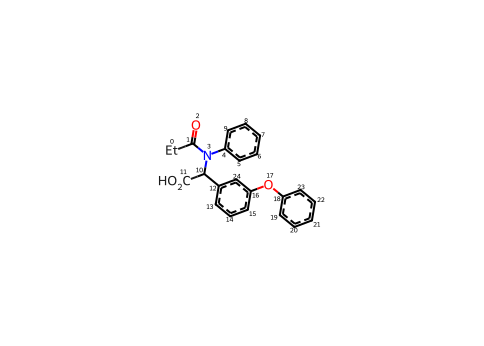 CCC(=O)N(c1ccccc1)C(C(=O)O)c1cccc(Oc2ccccc2)c1